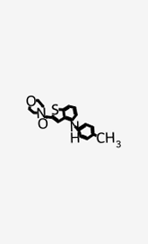 Cc1ccc(Nc2cccc3sc(C(=O)N4CCOCC4)cc23)cc1